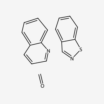 C=O.c1ccc2ncccc2c1.c1ccc2sncc2c1